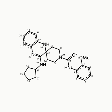 COc1ccccc1NC(=O)N1CCC2(CC1)Nc1cccnc1N=C2NC1CCCC1